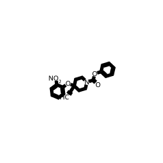 C#CC1(Oc2ccccc2[N+](=O)[O-])CCN(C(=O)Oc2ccccc2)CC1